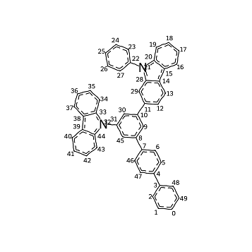 c1ccc(-c2ccc(-c3cc(-c4ccc5c6ccccc6n(-c6ccccc6)c5c4)cc(-n4c5ccccc5c5ccccc54)c3)cc2)cc1